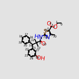 CCOC(=O)c1sc(NC(=O)C(C)(C)C(c2ccccc2)c2cccc(O)c2)nc1C